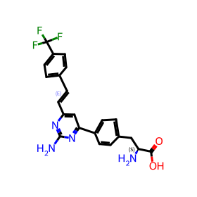 Nc1nc(/C=C/c2ccc(C(F)(F)F)cc2)cc(-c2ccc(C[C@H](N)C(=O)O)cc2)n1